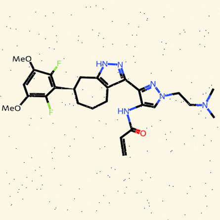 C=CC(=O)Nc1cn(CCN(C)C)nc1-c1n[nH]c2c1CCC[C@@H](c1c(F)c(OC)cc(OC)c1F)C2